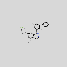 Cc1cc2c(c(-c3nccc4c(CC(C)C)cc(C5CCC(F)(F)C5)cc34)c1)Cc1ccccc1-2